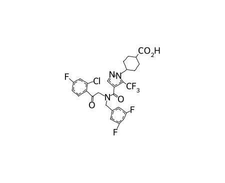 O=C(CN(Cc1cc(F)cc(F)c1)C(=O)c1cnn(C2CCC(C(=O)O)CC2)c1C(F)(F)F)c1ccc(F)cc1Cl